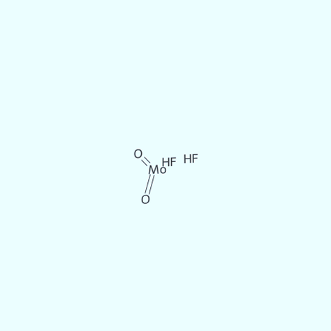 F.F.[O]=[Mo]=[O]